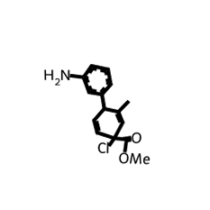 COC(=O)C1(Cl)C=CC(c2cccc(N)c2)C(C)=C1